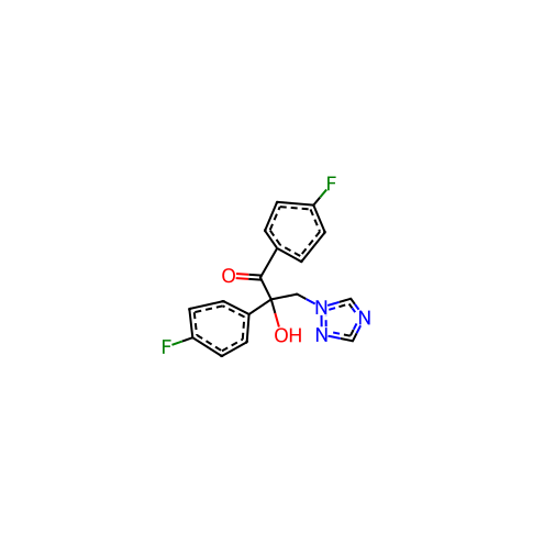 O=C(c1ccc(F)cc1)C(O)(Cn1cncn1)c1ccc(F)cc1